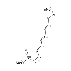 CCCCCCCCCCCC=CC=CC=C/C=C\C(=O)OC